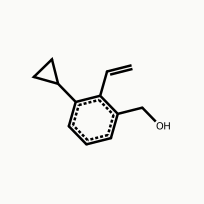 C=Cc1c(CO)cccc1C1CC1